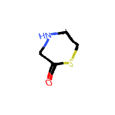 O=C1CN[CH]CS1